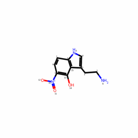 NCCc1c[nH]c2ccc([N+](=O)[O-])c(O)c12